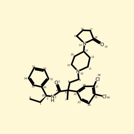 CC[C@H](NC(=O)C(C)(CCN1CCC(N2CCCC2=O)CC1)c1ccc(Cl)c(Cl)c1)c1ccccc1